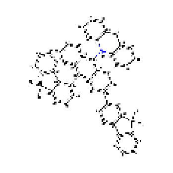 CC1(C)c2ccccc2-c2ccc(-c3ccc4c(N5c6ccccc6Cc6ccccc65)c5ccccc5c(-c5cccc6c5-c5ccccc5C6(C)C)c4c3)cc21